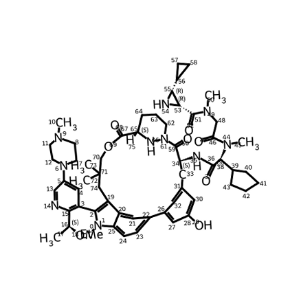 CCn1c(-c2cc(N3CCN(C)CC3)cnc2[C@H](C)OC)c2c3cc(ccc31)-c1cc(O)cc(c1)C[C@H](NC(=O)[C@H](C1CCCC1)N(C)C(=O)CN(C)C(=O)[C@@H]1N[C@@H]1C1CC1)C(=O)N1CCC[C@H](N1)C(=O)OCC(C)(C)C2